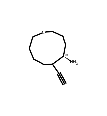 C#CC1CCCCCCCC[C@@H]1N